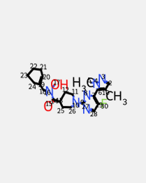 Cc1cnn(C)c1-c1nc(N2CCC(C(=O)N(O)CC3=CCCCC3)CC2)ncc1F